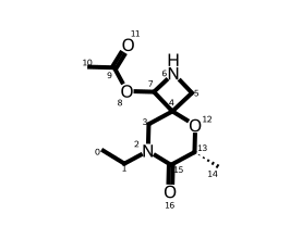 CCN1CC2(CNC2OC(C)=O)O[C@H](C)C1=O